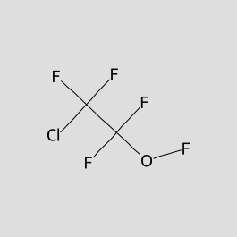 FOC(F)(F)C(F)(F)Cl